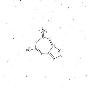 C=C1C=C2C=CC=C2C=C(O)C1